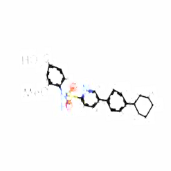 COc1cc(C(=O)O)ccc1NS(=O)(=O)c1ccc(-c2ccc(C3CCCCC3)cc2)cn1